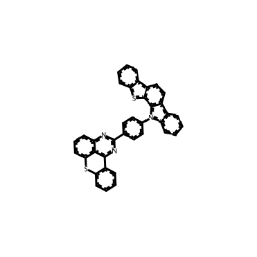 c1ccc2c(c1)Sc1cccc3nc(-c4ccc(-n5c6ccccc6c6ccc7c8ccccc8sc7c65)cc4)nc-2c13